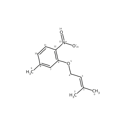 CC(C)=CCOc1cc(C)ccc1[N+](=O)[O-]